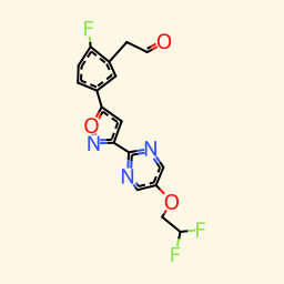 O=CCc1cc(-c2cc(-c3ncc(OCC(F)F)cn3)no2)ccc1F